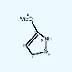 COC1=CC[N]N1